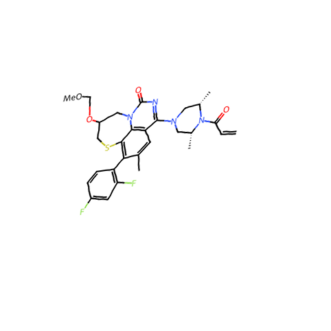 C=CC(=O)N1[C@H](C)CN(c2nc(=O)n3c4c(c(-c5ccc(F)cc5F)c(C)cc24)SCC(OCOC)C3)C[C@@H]1C